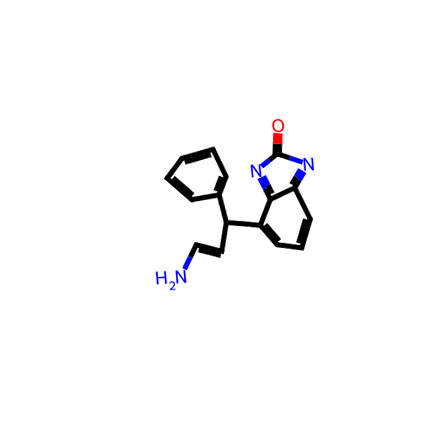 N/C=C/C(c1ccccc1)c1cccc2c1=NC(=O)N=2